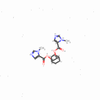 Cn1cncc1C(=O)OC1C2CCC(CC2)C1OC(=O)c1cncn1C